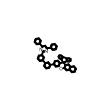 c1ccc(-c2cc(-c3ccccc3)nc(-c3cccc(-c4cccc(-c5ccc6c(c5)Oc5cc7ccccc7cc5C65c6ccccc6-c6ccccc65)c4)c3)n2)cc1